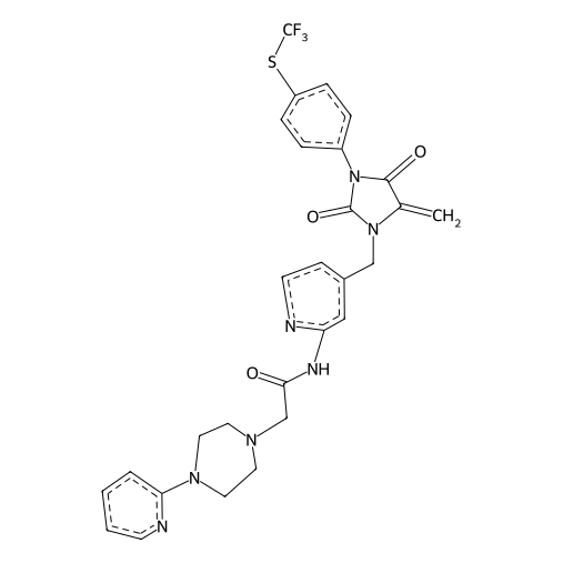 C=C1C(=O)N(c2ccc(SC(F)(F)F)cc2)C(=O)N1Cc1ccnc(NC(=O)CN2CCN(c3ccccn3)CC2)c1